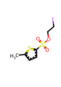 Cc1ccc(S(=O)(=O)OCCI)s1